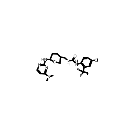 CN(C)c1ccnc(NC2CCC(CNC(=O)Nc3ccc(Cl)cc3C(F)(F)F)CC2)n1